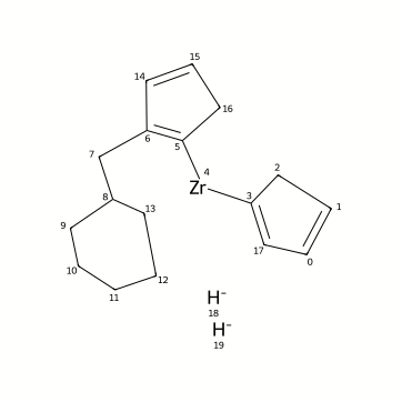 C1=CC[C]([Zr][C]2=C(CC3CCCCC3)C=CC2)=C1.[H-].[H-]